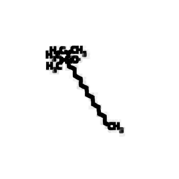 CCCCCCCCCCCCCC[Si]([O])(C(C)C)C(C)C